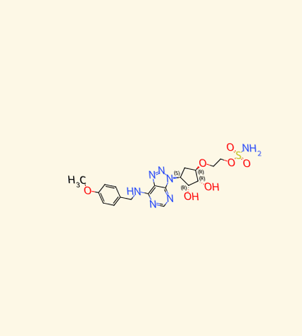 COc1ccc(CNc2ncnc3c2nnn3[C@H]2C[C@@H](OCCOS(N)(=O)=O)[C@H](O)[C@@H]2O)cc1